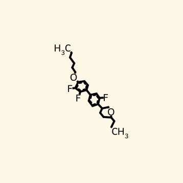 CCCCCCOc1ccc(-c2ccc(C3CCC(CCC)OC3)c(F)c2)c(F)c1F